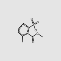 COC(=O)c1c(C)cccc1S(=O)(=O)Cl